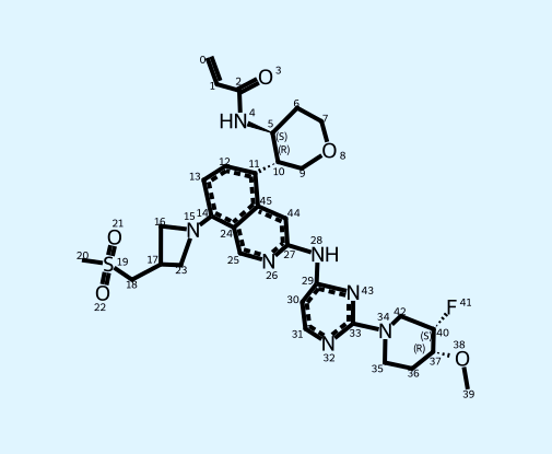 C=CC(=O)N[C@H]1CCOC[C@@H]1c1ccc(N2CC(CS(C)(=O)=O)C2)c2cnc(Nc3ccnc(N4CC[C@@H](OC)[C@@H](F)C4)n3)cc12